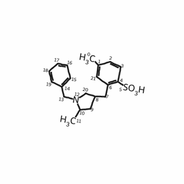 Cc1ccc(S(=O)(=O)O)c(CC2CC(C)N(Cc3ccccc3)C2)c1